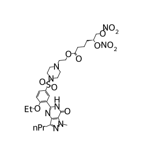 CCCc1nn(C)c2c(=O)[nH]c(-c3cc(S(=O)(=O)N4CCN(CCOC(=O)CCC[C@@H](CO[N+](=O)[O-])O[N+](=O)[O-])CC4)ccc3OCC)nc12